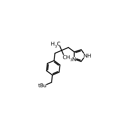 CC(C)(C)Cc1ccc(CC(C)(C)Cc2c[nH]cn2)cc1